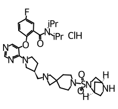 CC(C)N(C(=O)c1cc(F)ccc1Oc1cncnc1N1CC[C@@H](CN2CC3(CCN(S(=O)(=O)N4C[C@@H]5C[C@H]4CN5)CC3)C2)C1)C(C)C.Cl